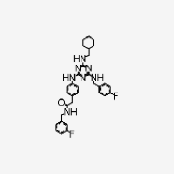 O=C(Cc1ccc(Nc2nc(NCc3ccc(F)cc3)nc(NCC3CCCCC3)n2)cc1)NCc1cccc(F)c1